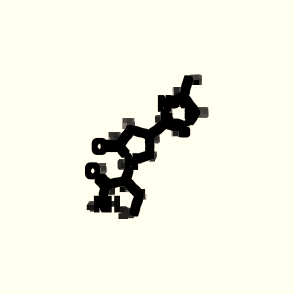 CCC(C(N)=O)N1CC(c2nc(C)cs2)CC1=O